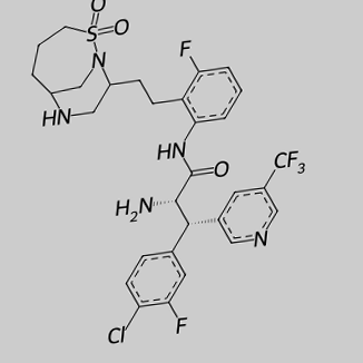 N[C@H](C(=O)Nc1cccc(F)c1CCC1CNC2CCCS(=O)(=O)N1C2)[C@H](c1cncc(C(F)(F)F)c1)c1ccc(Cl)c(F)c1